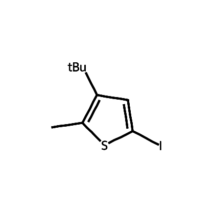 Cc1sc(I)cc1C(C)(C)C